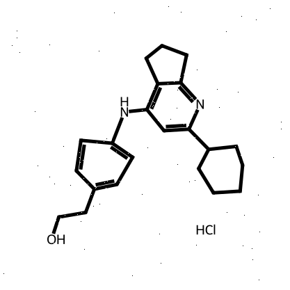 Cl.OCCc1ccc(Nc2cc(C3CCCCC3)nc3c2CCC3)cc1